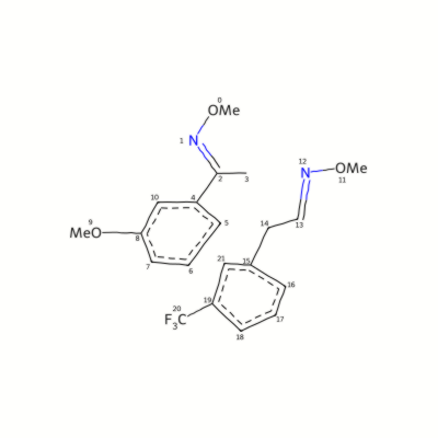 CON=C(C)c1cccc(OC)c1.CON=CCc1cccc(C(F)(F)F)c1